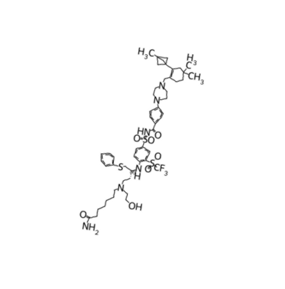 CC1(C)CCC(CN2CCN(c3ccc(C(=O)NS(=O)(=O)c4ccc(N[C@H](CCN(CCO)CCCCCCC(N)=O)CSc5ccccc5)c(S(=O)(=O)C(F)(F)F)c4)cc3)CC2)=C(C23CC(C)(C2)C3)C1